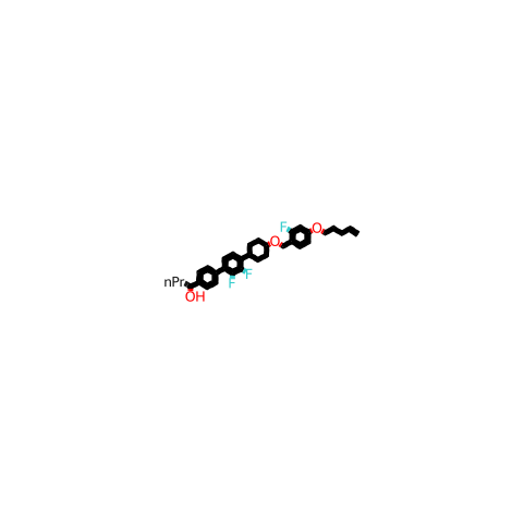 C=CCCCOc1ccc(COC2CCC(c3ccc(-c4ccc(C(O)CCC)cc4)c(F)c3F)CC2)c(F)c1